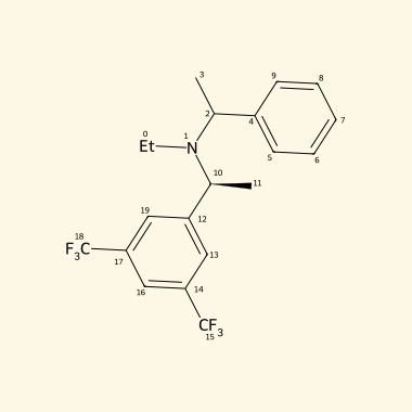 CCN(C(C)c1ccccc1)[C@@H](C)c1cc(C(F)(F)F)cc(C(F)(F)F)c1